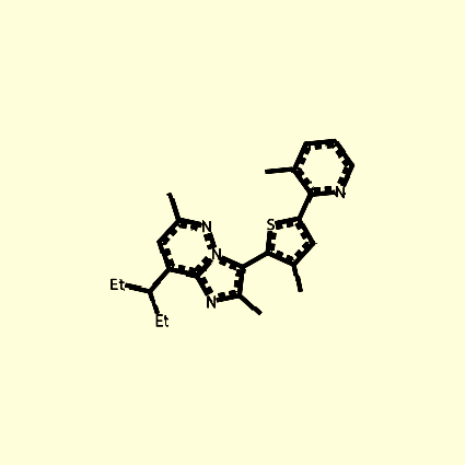 CCC(CC)c1cc(C)nn2c(-c3sc(-c4ncccc4C)cc3C)c(C)nc12